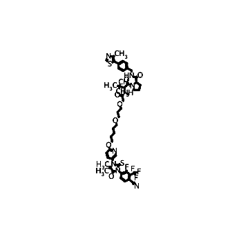 Cc1ncsc1-c1ccc(CNC(=O)C2CCCN2C(=O)C(NC(=O)COCCCOCCCCCOc2ccc(N3C(=S)N(c4ccc(C#N)c(C(F)(F)F)c4F)C(=O)C3(C)C)cn2)C(C)(C)C)cc1